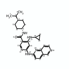 CC(C)[C@H]1CC[C@H](NC(=O)c2cnc(Nc3ccc4cnccc4n3)cc2NC2CC2)CC1